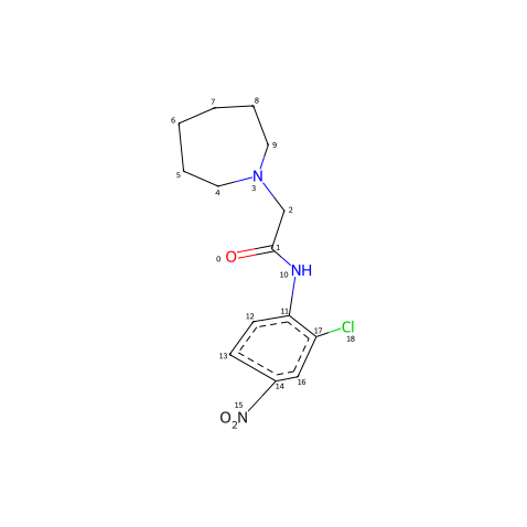 O=C(CN1CCCCCC1)Nc1ccc([N+](=O)[O-])cc1Cl